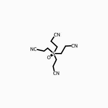 N#CCCS(=O)(CCC#N)(CCC#N)CCC#N